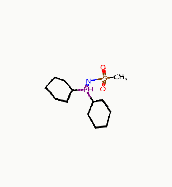 CS(=O)(=O)N=[PH](C1CCCCC1)C1CCCCC1